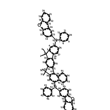 CC1(C)c2cc(N(c3ccccc3)c3ccc4oc5ccccc5c4c3)ccc2-c2cc3c(cc21)C(C)(C)c1cc(N(c2ccccc2)c2ccc4oc5ccccc5c4c2)c2ccccc2c1-3